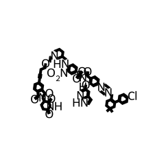 CC1(C)CCC(CN2CCN(c3ccc(C(=O)NS(=O)(=O)c4ccc(NCC5CCCN(CCOCCC#Cc6ccc7c(c6)C(=O)N(C6CCC(=O)NC6=O)C7=O)C5)c([N+](=O)[O-])c4)c(Oc4cnc5[nH]ccc5c4)c3)CC2)=C(c2ccc(Cl)cc2)C1